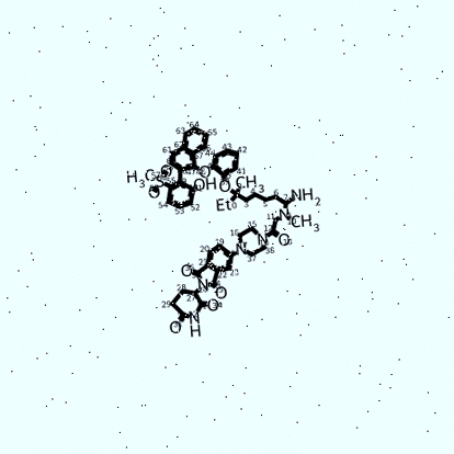 CCC(C)(CCCCC(N)N(C)CC(=O)N1CCN(c2ccc3c(c2)C(=O)N(C2CCC(=O)NC2=O)C3=O)CC1)Oc1ccccc1Oc1c(-c2c(O)cccc2S(C)(=O)=O)ccc2ccccc12